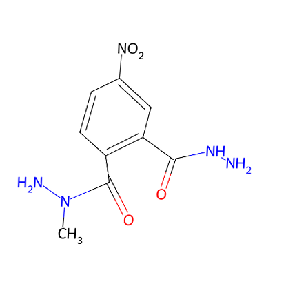 CN(N)C(=O)c1ccc([N+](=O)[O-])cc1C(=O)NN